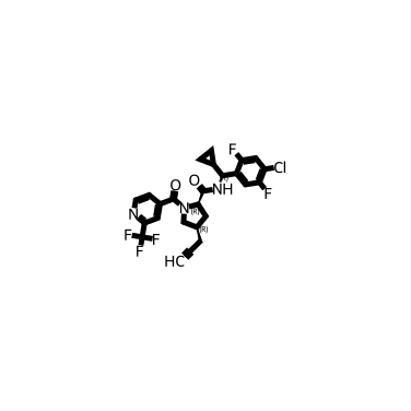 C#CC[C@@H]1C[C@H](C(=O)N[C@@H](c2cc(F)c(Cl)cc2F)C2CC2)N(C(=O)c2ccnc(C(F)(F)F)c2)C1